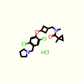 CN(CC1CC(Oc2cc(Cl)c(CN3CCCC3)cc2Cl)C1)C(=O)C1(C)CC1.Cl